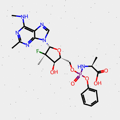 CNc1nc(C)nc2c1ncn2[C@@H]1O[C@H](COP(=O)(N[C@@H](C)C(=O)O)Oc2ccccc2)[C@@H](O)[C@@]1(C)F